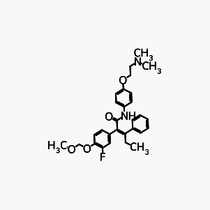 CCC(=C(C(=O)Nc1ccc(OCCN(C)C)cc1)c1ccc(OCOC)c(F)c1)c1ccccc1